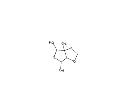 CC12OCOC1C(O)OC2O